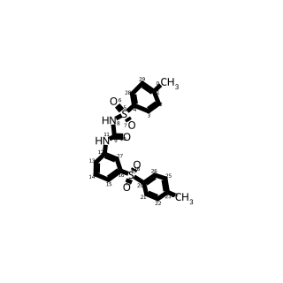 Cc1ccc(S(=O)(=O)NC(=O)Nc2cccc(S(=O)(=O)c3ccc(C)cc3)c2)cc1